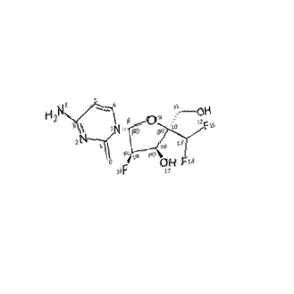 C=C1N=C(N)C=CN1[C@@H]1O[C@@](CO)(C(F)F)[C@@H](O)[C@H]1F